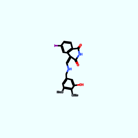 COc1cc(CNC=C2C(=O)NC(=O)c3ccc(I)cc32)cc(O)c1OC